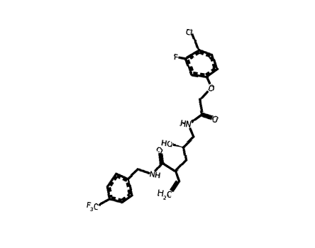 C=CC(C[C@@H](O)CNC(=O)COc1ccc(Cl)c(F)c1)C(=O)NCc1ccc(C(F)(F)F)cc1